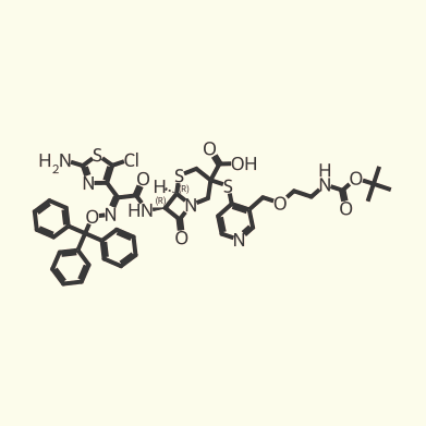 CC(C)(C)OC(=O)NCCOCc1cnccc1SC1(C(=O)O)CS[C@@H]2[C@H](NC(=O)C(=NOC(c3ccccc3)(c3ccccc3)c3ccccc3)c3nc(N)sc3Cl)C(=O)N2C1